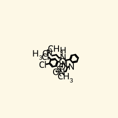 CN(C)CCCNc1nc(CN(C)S(=O)(=O)c2cc(Cl)c(Cl)cc2Cl)nc2ccccc12